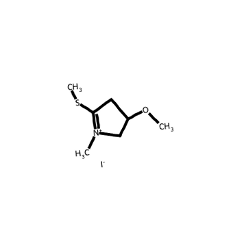 COC1CC(SC)=[N+](C)C1.[I-]